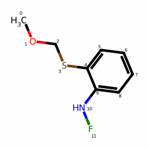 COCSc1ccccc1NF